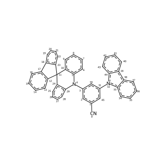 N#Cc1cc(N2c3ccccc3C3(c4ccccc4-c4ccccc43)c3ccccc32)cc(-n2c3ccccc3c3ccccc32)c1